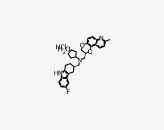 Cc1ccc2c3c(ccc2n1)OC[C@H](CN(C[C@@H]1CCc2[nH]c4ccc(F)cc4c2C1)C1CCCC1)O3.Cl.O